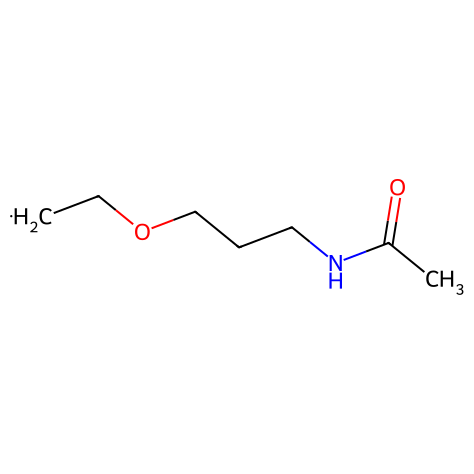 [CH2]COCCCNC(C)=O